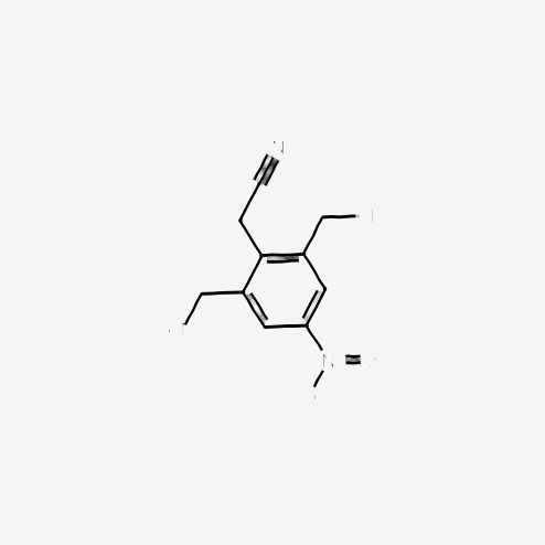 N#CCc1c(CCl)cc([N+](=O)[O-])cc1CCl